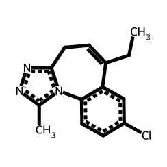 CCC1=CCc2nnc(C)n2-c2ccc(Cl)cc21